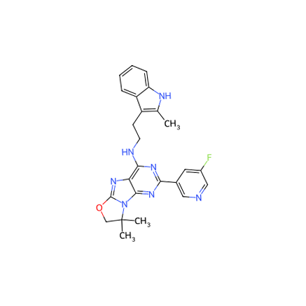 Cc1[nH]c2ccccc2c1CCNc1nc(-c2cncc(F)c2)nc2c1nc1n2C(C)(C)CO1